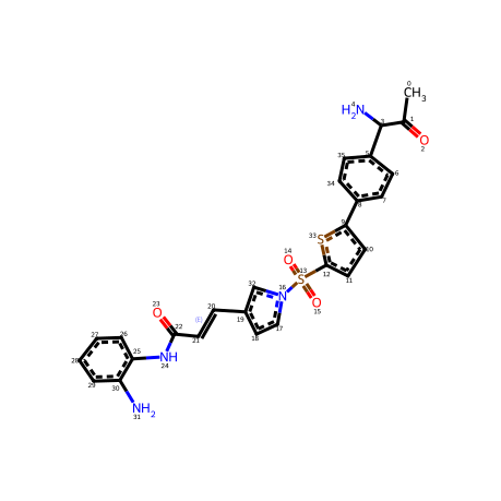 CC(=O)C(N)c1ccc(-c2ccc(S(=O)(=O)n3ccc(/C=C/C(=O)Nc4ccccc4N)c3)s2)cc1